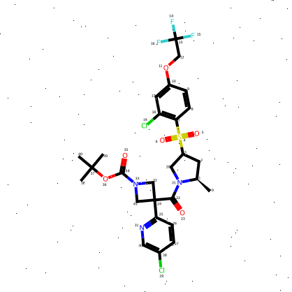 C[C@@H]1CC(S(=O)(=O)c2ccc(OCC(F)(F)F)cc2Cl)CN1C(=O)C1(c2ccc(Cl)cn2)CN(C(=O)OC(C)(C)C)C1